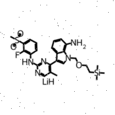 Cc1cnc(Nc2cccc(S(C)(=O)=O)c2F)nc1-c1cn(COCC[Si](C)(C)C)c2c(N)cccc12.[LiH]